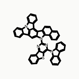 c1ccc2c(c1)ccc1c3c4c5ccccc5n5c6ccccc6c(cc3n(-c3nc(-n6c7ccccc7c7ccccc76)c6sc7ccccc7c6n3)c21)c45